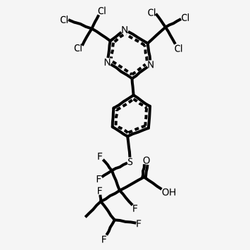 CC(F)(C(F)F)C(F)(C(=O)O)C(F)(F)Sc1ccc(-c2nc(C(Cl)(Cl)Cl)nc(C(Cl)(Cl)Cl)n2)cc1